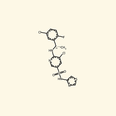 C[C@H](Nc1ncc(S(=O)(=O)Nc2cscn2)cc1Cl)c1cc(Cl)ccc1F